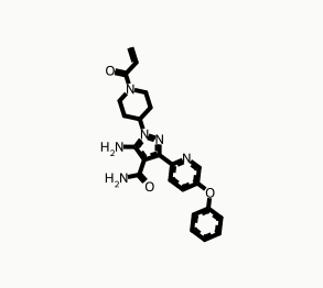 C=CC(=O)N1CCC(n2nc(-c3ccc(Oc4ccccc4)cn3)c(C(N)=O)c2N)CC1